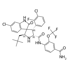 CC(C)(C)C[C@@H]1N[C@@H](C(=O)Nc2ccc(C(N)=O)cc2OC(F)(F)F)[C@@H](c2cccc(Cl)c2F)C12C(=O)Nc1cc(Cl)ccc12